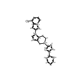 Clc1cccn2nc(-n3cnc4c3CCN(c3nnc(-c5ncccn5)o3)C4)cc12